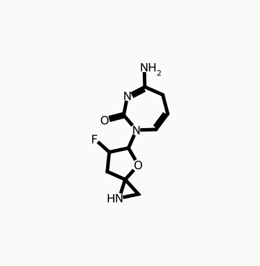 NC1=NC(=O)N(C2OC3(CN3)CC2F)C=CC1